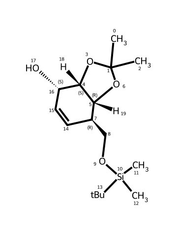 CC1(C)O[C@@H]2[C@H](O1)[C@@H](CO[Si](C)(C)C(C)(C)C)C=C[C@@H]2O